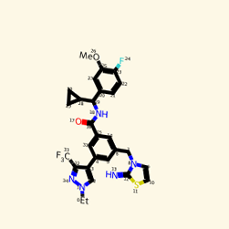 CCn1cc(-c2cc(Cn3ccsc3=N)cc(C(=O)NC(c3ccc(F)c(OC)c3)C3CC3)c2)c(C(F)(F)F)n1